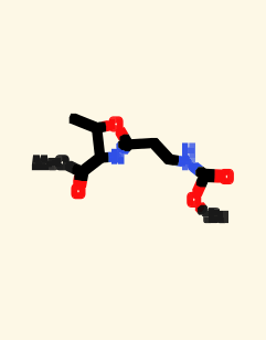 COC(=O)C1N=C(CCNC(=O)OC(C)(C)C)OC1C